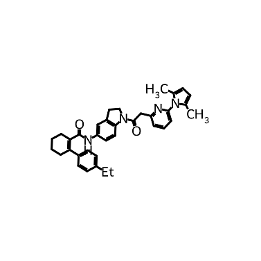 CCc1ccc(C2=C(C(=O)Nc3ccc4c(c3)CCN4C(=O)Cc3cccc(-n4c(C)ccc4C)n3)CCCC2)cc1